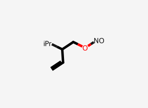 C=CC(CON=O)C(C)C